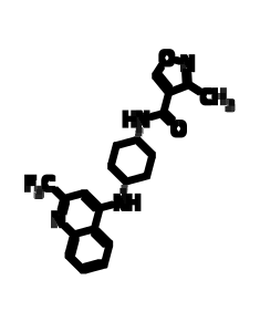 Cc1nocc1C(=O)N[C@H]1CC[C@@H](Nc2cc(C(F)(F)F)nc3ccccc23)CC1